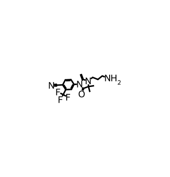 C=C1N(c2ccc(C#N)c(C(F)(F)F)c2)C(=O)C(C)(C)N1CCCN